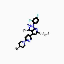 CCOC(=O)c1cc(-c2ccc(N3CCC(C#N)CC3)nc2)c2c(n1)N(c1ccc(F)cc1F)N(C)C2C(C)C